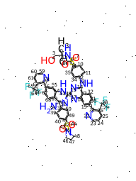 CC(C)(CO)NS(=O)(=O)c1ccc(Nc2ncnc3cc(-c4ncccc4C(F)(F)F)ccc23)cc1.NC1(c2ccc(S(=O)(=O)N3CCC3)cc2)N=CNc2cc(-c3ncccc3C(F)(F)F)ccc21